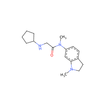 CN1CCc2ccc(N(C)C(=O)CNC3CCCC3)cc21